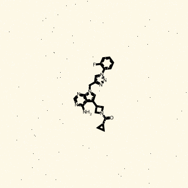 Nc1ncnc2c1c(C1CN(C(=O)C3CC3)C1)cn2Cc1cn(-c2ccccc2F)nn1